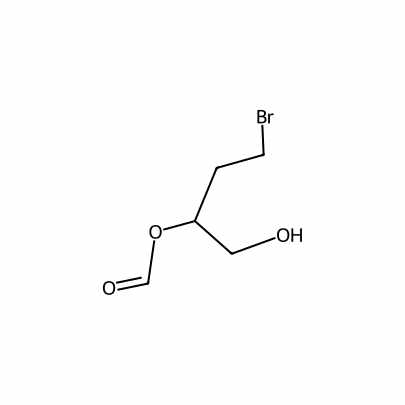 O=COC(CO)CCBr